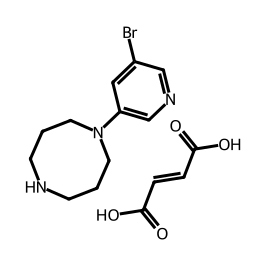 Brc1cncc(N2CCCNCCC2)c1.O=C(O)/C=C/C(=O)O